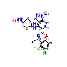 CCn1ncc2c(NC3CCC(=NO)CC3)c(C(=O)NC(C)c3cccc(Cl)c3Cl)cnc21